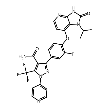 CC(C)n1c(=O)[nH]c2nccc(Oc3ccc(-c4nn(-c5ccncc5)c(C(F)(F)F)c4C(N)=O)cc3F)c21